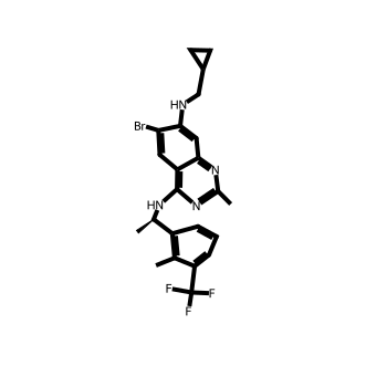 Cc1nc(N[C@H](C)c2cccc(C(F)(F)F)c2C)c2cc(Br)c(NCC3CC3)cc2n1